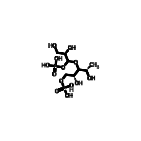 C[C@H](O)C(OC(OP(=O)(O)O)[C@H](O)CO)[C@H](O)COP(=O)(O)O